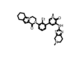 CCc1c(-c2cc(Nc3nc4c(s3)CN(C)CC4)c(=O)n(C)c2)cccc1N1CCn2c(cc3c2CCCC3)C1=O